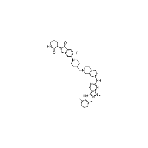 Cc1cccc(C)c1Nc1nn(C)c2nc(Nc3ccc4c(c3)CN(CC3CCN(c5cc6c(cc5F)C(=O)N(C5CCCNC5=O)C6)CC3)CC4)ncc12